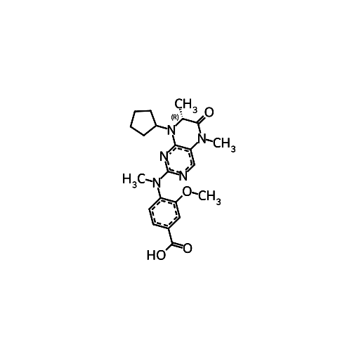 COc1cc(C(=O)O)ccc1N(C)c1ncc2c(n1)N(C1CCCC1)[C@H](C)C(=O)N2C